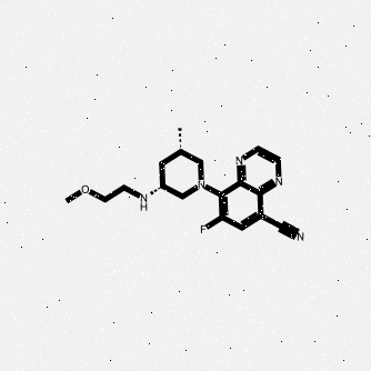 COCCN[C@@H]1C[C@H](C)CN(c2c(F)cc(C#N)c3nccnc23)C1